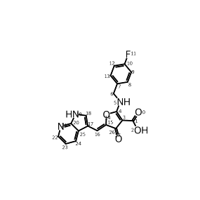 O=C(O)C1=C(NCc2ccc(F)cc2)OC(=Cc2c[nH]c3ncccc23)C1=O